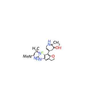 CNc1cc(C)nc(Nc2cc3c(c(C4=CCN[C@H](C)[C@@H](O)C4)c2F)OCC3)n1